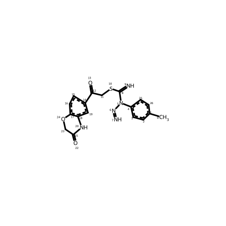 Cc1ccc(N(N=N)C(=N)SCC(=O)c2ccc3c(c2)NC(=O)CO3)cc1